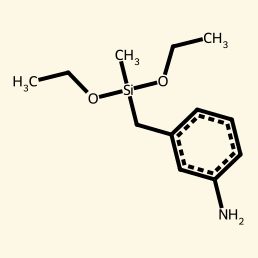 CCO[Si](C)(Cc1cccc(N)c1)OCC